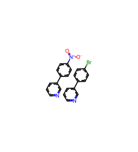 Brc1ccc(-c2cccnc2)cc1.O=[N+]([O-])c1ccc(-c2cccnc2)cc1